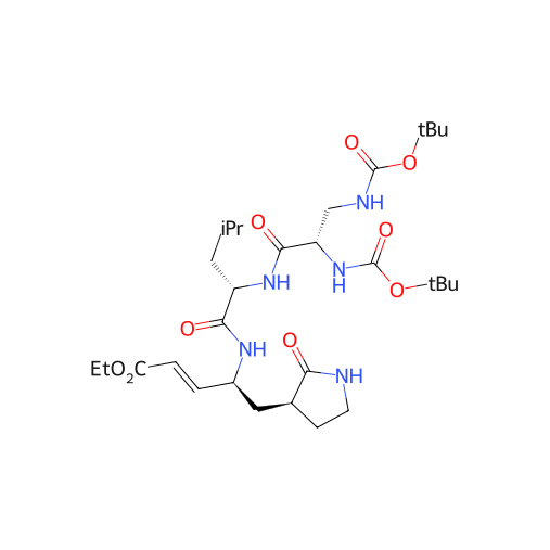 CCOC(=O)/C=C/[C@H](C[C@@H]1CCNC1=O)NC(=O)[C@H](CC(C)C)NC(=O)[C@H](CNC(=O)OC(C)(C)C)NC(=O)OC(C)(C)C